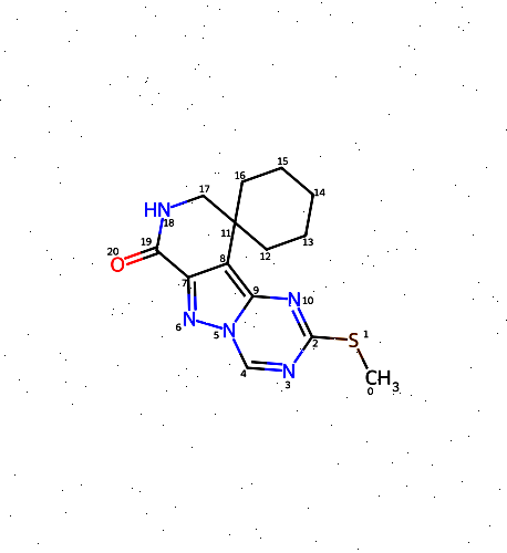 CSc1ncn2nc3c(c2n1)C1(CCCCC1)CNC3=O